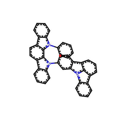 c1ccc(-n2c3ccccc3c3ccc4c5ccccc5n(-c5ccc6c7cccc8c9ccccc9n(c6c5)c87)c4c32)cc1